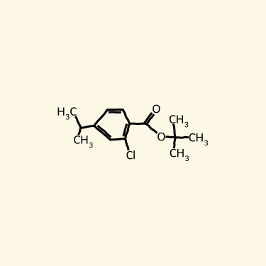 CC(C)c1ccc(C(=O)OC(C)(C)C)c(Cl)c1